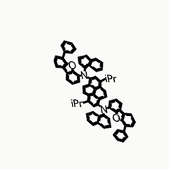 CC(C)c1cc(N(c2cccc3ccccc23)c2cccc3c2oc2c(-c4ccccc4)cccc23)c2ccc3c(C(C)C)cc(N(c4cccc5ccccc45)c4cccc5c4oc4c(-c6ccccc6)cccc45)c4ccc1c2c34